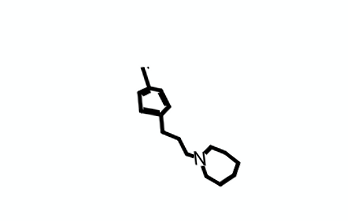 [CH2]c1ccc(CCCN2CCCCCC2)cc1